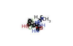 CN(C)C1CN(c2nc3c(F)c(-c4cc(O)cc5ccccc45)c(Cl)cc3c3c2NC(=O)C32CC3CC2CN3)C1